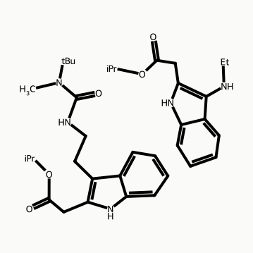 CC(C)OC(=O)Cc1[nH]c2ccccc2c1CCNC(=O)N(C)C(C)(C)C.CCNc1c(CC(=O)OC(C)C)[nH]c2ccccc12